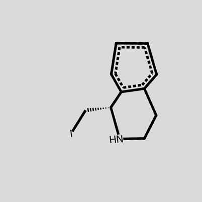 IC[C@H]1NCCc2ccccc21